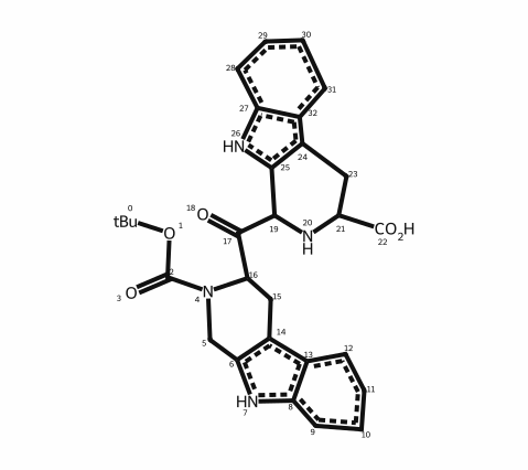 CC(C)(C)OC(=O)N1Cc2[nH]c3ccccc3c2CC1C(=O)C1NC(C(=O)O)Cc2c1[nH]c1ccccc21